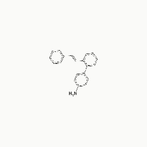 Nc1ccc(-c2ccccc2C=Cc2ccccc2)cc1